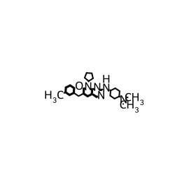 Cc1cccc(Cc2cc3cnc(NC4CCC(N(C)C)CC4)nc3n(C3CCCC3)c2=O)c1